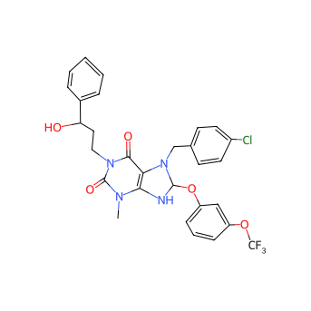 Cn1c2c(c(=O)n(CCC(O)c3ccccc3)c1=O)N(Cc1ccc(Cl)cc1)C(Oc1cccc(OC(F)(F)F)c1)N2